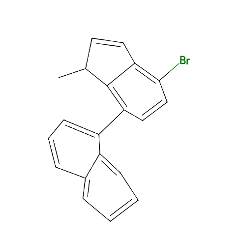 CC1C=Cc2c(Br)ccc(-c3cccc4ccccc34)c21